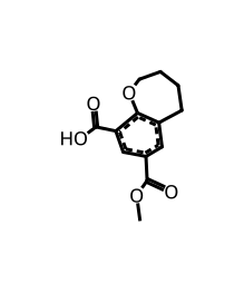 COC(=O)c1cc2c(c(C(=O)O)c1)OCCCC2